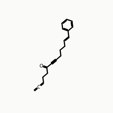 C=C=CCCC(=O)C#CCCC/C=C/c1ccccc1